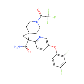 NC(=O)C1(c2ccc(Oc3ccc(F)cc3F)cn2)CC12CCN(C(=O)C(F)(F)F)CC2